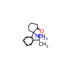 CC(C)c1ccccc1C1(N)CCCCC1=O